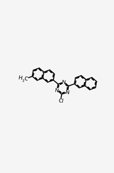 Cc1ccc2ccc(-c3nc(Cl)nc(-c4ccc5ccccc5c4)n3)cc2c1